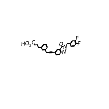 O=C(O)CCCc1cccc(CC#Cc2ccc3ncn(Cc4ccc(F)c(F)c4)c(=O)c3c2)c1